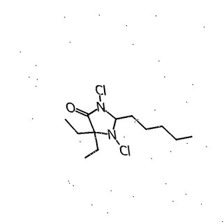 CCCCCC1N(Cl)C(=O)C(CC)(CC)N1Cl